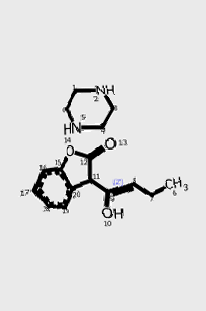 C1CNCCN1.CC/C=C(\O)C1C(=O)Oc2ccccc21